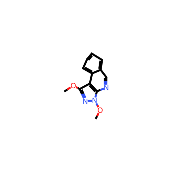 COc1nn(OC)c2ncc3ccccc3c12